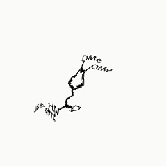 CCCC(C)NC(=O)CCc1ccc(OC)c(OC)c1